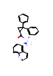 CN(Nc1cccc2ncccc12)C(=O)C1CC1(c1ccccc1)c1ccccc1